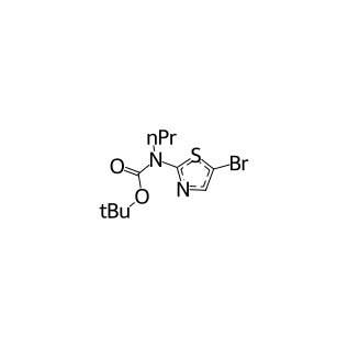 CCCN(C(=O)OC(C)(C)C)c1ncc(Br)s1